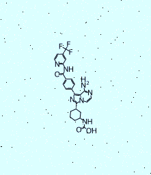 Nc1nccn2c([C@@H]3CCC[C@H](NC(=O)O)C3)nc(-c3ccc(C(=O)Nc4cc(C(F)(F)F)ccn4)cc3)c12